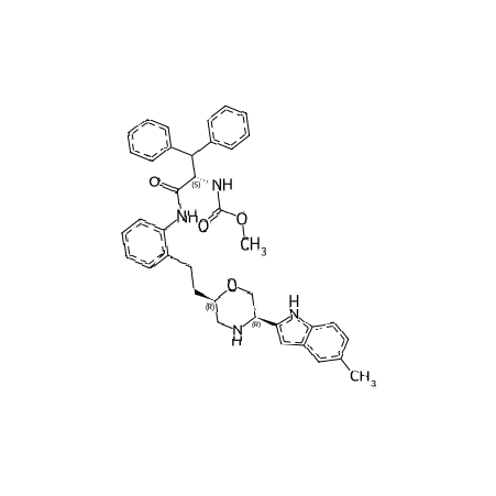 COC(=O)N[C@H](C(=O)Nc1ccccc1CC[C@@H]1CN[C@H](c2cc3cc(C)ccc3[nH]2)CO1)C(c1ccccc1)c1ccccc1